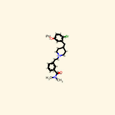 CC(C)Oc1ccc(Br)c(CC2CCN(CCc3cccc(C(=O)N(C)C)c3)CC2)c1